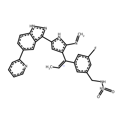 C=Nc1[nH]c(-c2n[nH]c3ccc(-c4ccccn4)cc23)cc1/C(=C\C)c1cc(F)cc(CN[SH](=O)=O)c1